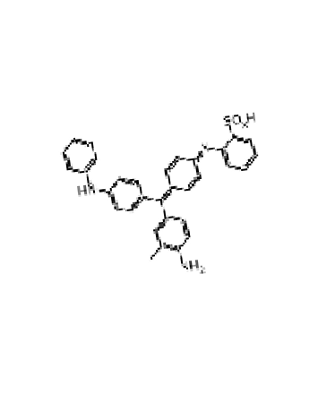 Cc1cc(C(=C2C=CC(=Nc3ccccc3S(=O)(=O)O)C=C2)c2ccc(Nc3ccccc3)cc2)ccc1N